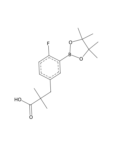 CC(C)(Cc1ccc(F)c(B2OC(C)(C)C(C)(C)O2)c1)C(=O)O